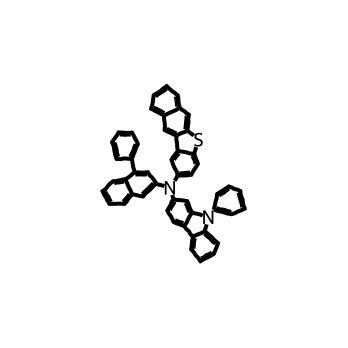 c1ccc(-c2cc(N(c3ccc4sc5cc6ccccc6cc5c4c3)c3ccc4c5ccccc5n(-c5ccccc5)c4c3)cc3ccccc23)cc1